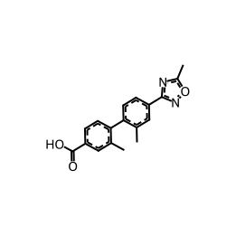 Cc1nc(-c2ccc(-c3ccc(C(=O)O)cc3C)c(C)c2)no1